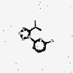 CC(C)c1nnnn1-c1cccc(Br)n1